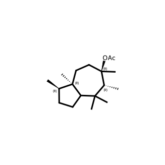 CC(=O)O[C@]1(C)CC[C@@]2(C)C(CC[C@H]2C)C(C)(C)[C@H]1C